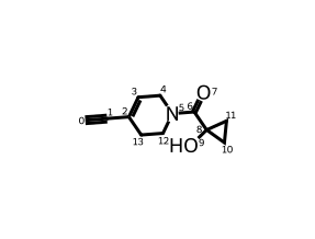 C#CC1=CCN(C(=O)C2(O)CC2)CC1